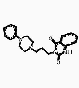 O=c1[nH]c2ccccc2c(=O)n1CCCN1CCN(c2ccccc2)CC1